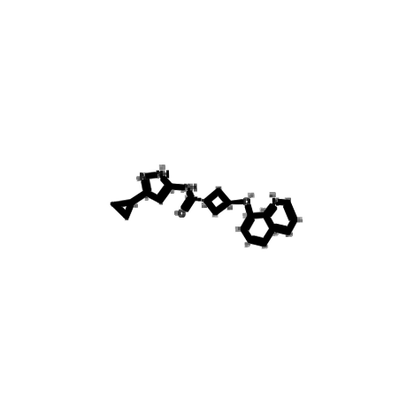 O=C(Nc1cc(C2CC2)n[nH]1)[C@H]1C[C@H](Oc2cccc3cccnc23)C1